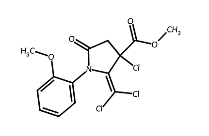 COC(=O)C1(Cl)CC(=O)N(c2ccccc2OC)C1=C(Cl)Cl